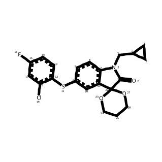 O=C1N(CC2CC2)c2ccc(Sc3ccc(F)cc3Cl)cc2C12OCCCO2